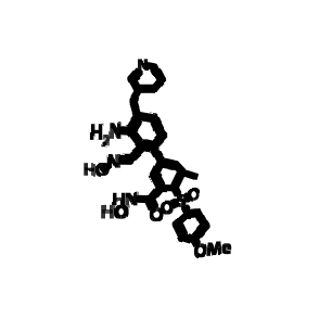 COc1ccc(S(=O)(=O)c2c(C)cc(-c3ccc(Cc4cccnc4)c(N)c3C=NO)cc2C(=O)NO)cc1